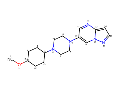 N#COB1CCC(N2CCN(c3cnc4ccnn4c3)CC2)CC1